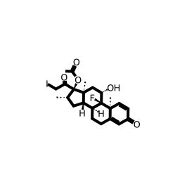 CC(=O)O[C@]1(C(=O)CI)[C@@H](C)C[C@H]2[C@@H]3CCC4=CC(=O)C=C[C@]4(C)[C@@]3(F)[C@@H](O)C[C@@]21C